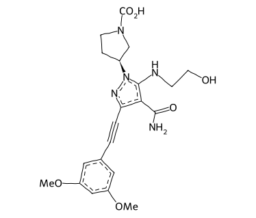 COc1cc(C#Cc2nn([C@H]3CCN(C(=O)O)C3)c(NCCO)c2C(N)=O)cc(OC)c1